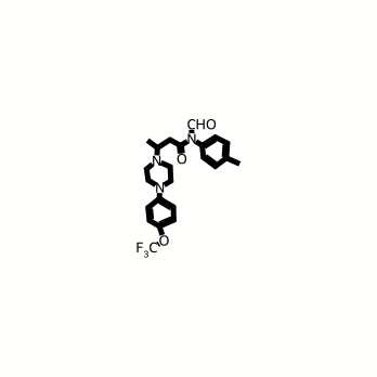 Cc1ccc(N(C=O)C(=O)CC(C)N2CCN(c3ccc(OC(F)(F)F)cc3)CC2)cc1